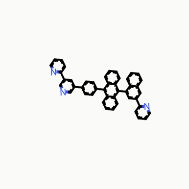 c1ccc(-c2cncc(-c3ccc(-c4c5ccccc5c(-c5cc(-c6ccccn6)cc6ccccc56)c5ccccc45)cc3)c2)nc1